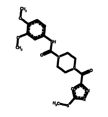 COc1ccc(NC(=O)N2CCN(C(=O)c3nnc(SC)o3)CC2)cc1OC